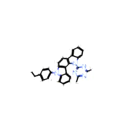 CCc1ccc(-n2c3ccccc3c3c2ccc2c4ccccc4n(-c4nc(C)nc(C)n4)c23)cc1